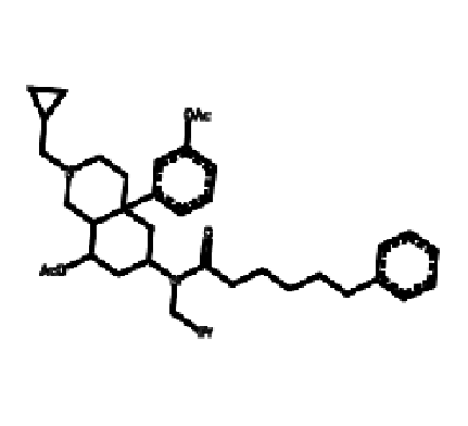 CC(=O)Oc1cccc(C23CCN(CC4CC4)CC2C(OC(C)=O)CC(N(CC(C)C)C(=O)CCCCCc2ccccc2)C3)c1